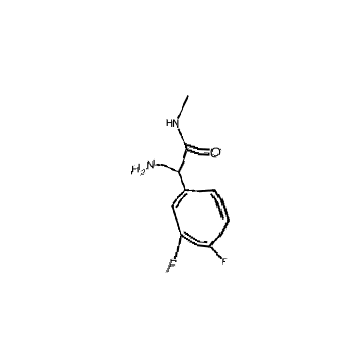 CNC(=O)C(N)c1ccc(F)c(F)c1